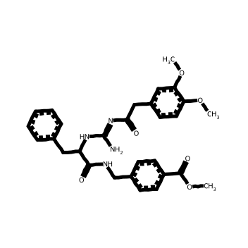 COC(=O)c1ccc(CNC(=O)C(Cc2ccccc2)NC(N)=NC(=O)Cc2ccc(OC)c(OC)c2)cc1